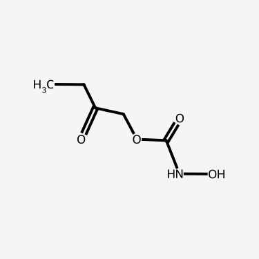 CCC(=O)COC(=O)NO